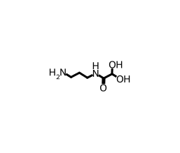 NCCCNC(=O)C(O)O